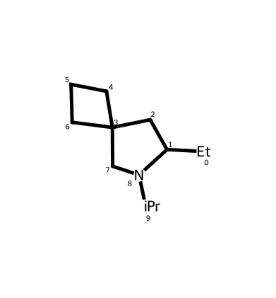 CCC1CC2(CCC2)CN1C(C)C